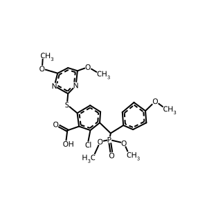 COc1ccc(C(c2ccc(Sc3nc(OC)cc(OC)n3)c(C(=O)O)c2Cl)P(=O)(OC)OC)cc1